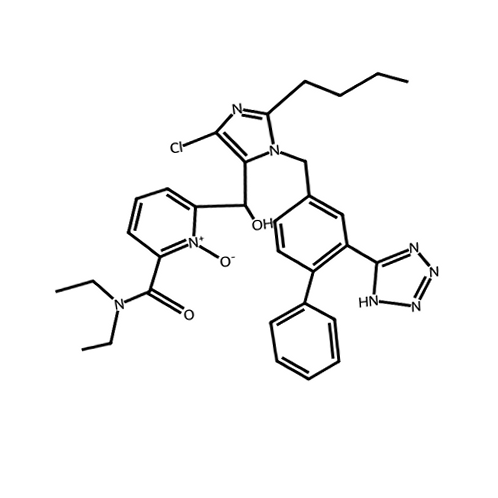 CCCCc1nc(Cl)c(C(O)c2cccc(C(=O)N(CC)CC)[n+]2[O-])n1Cc1ccc(-c2ccccc2)c(-c2nnn[nH]2)c1